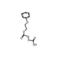 O=C(O)OOC(=O)OCCOc1ccccc1